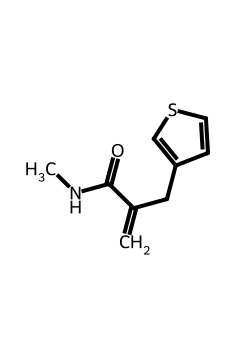 C=C(Cc1ccsc1)C(=O)NC